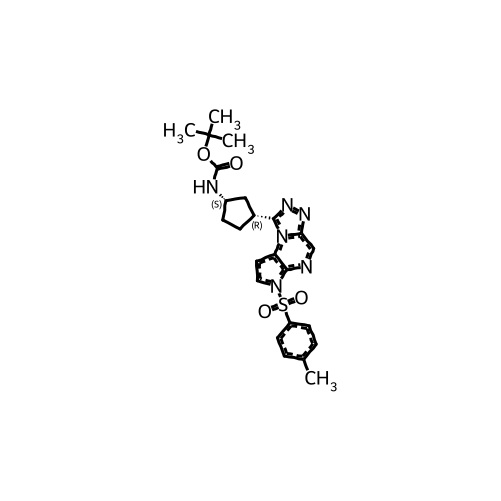 Cc1ccc(S(=O)(=O)n2ccc3c2ncc2nnc([C@@H]4CC[C@H](NC(=O)OC(C)(C)C)C4)n23)cc1